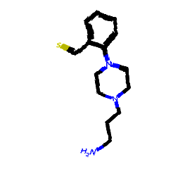 NCCCN1CCN(c2ccccc2C=S)CC1